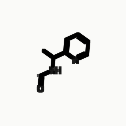 CC(N[C]=O)c1ccccn1